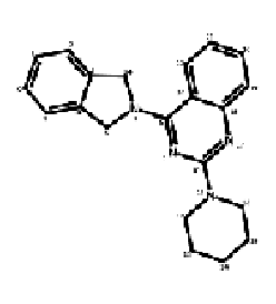 c1ccc2c(c1)CN(c1nc(N3CCCCC3)nc3ccccc13)C2